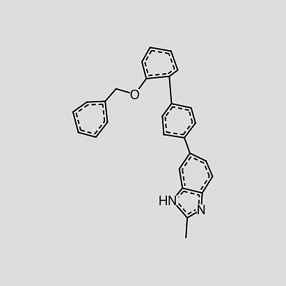 Cc1nc2ccc(-c3ccc(-c4ccccc4OCc4ccccc4)cc3)cc2[nH]1